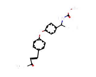 COC(=O)/C=C/c1ccc(Oc2ccc(C(NC(=O)OC(C)(C)C)C(=O)O)cc2)cc1